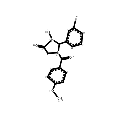 COc1ccc(C(=O)N2CC(=O)N(O)C2c2cccc(Br)c2)cc1